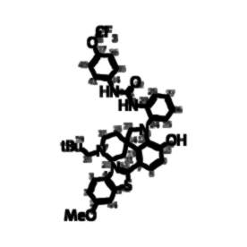 COc1ccc2nc(-c3ccc(O)c4c3C3(CCN(CC(C)(C)C)CC3)CN4c3ccccc3NC(=O)Nc3ccc(OC(F)(F)F)cc3)sc2c1